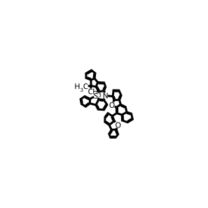 CC1(C)c2ccccc2-c2ccc(N(c3cccc4c3oc3c(-c5cccc6c5oc5ccccc56)c5ccccc5cc34)c3cccc4c3sc3ccccc34)cc21